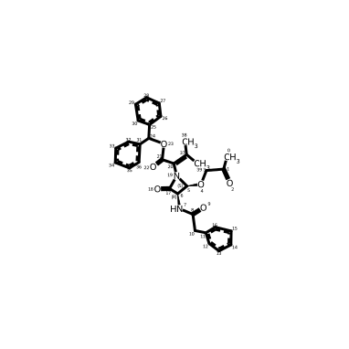 CC(=O)CO[C@H]1[C@@H](NC(=O)Cc2ccccc2)C(=O)N1C(C(=O)OC(c1ccccc1)c1ccccc1)=C(C)C